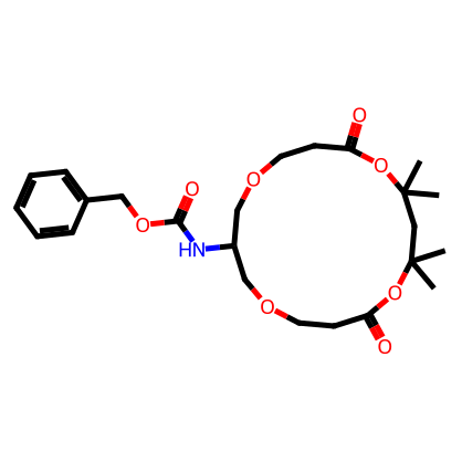 CC1(C)CC(C)(C)OC(=O)CCOCC(NC(=O)OCc2ccccc2)COCCC(=O)O1